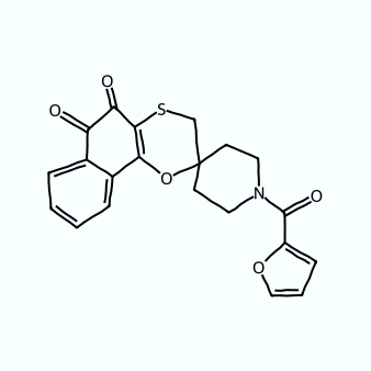 O=C1C(=O)c2ccccc2C2=C1SCC1(CCN(C(=O)c3ccco3)CC1)O2